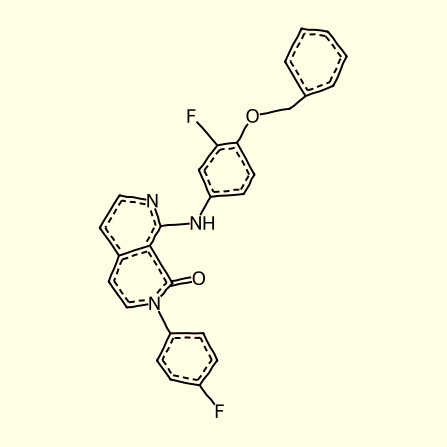 O=c1c2c(Nc3ccc(OCc4ccccc4)c(F)c3)nccc2ccn1-c1ccc(F)cc1